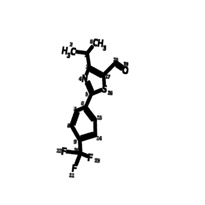 CC(C)c1nc(-c2ccc(C(F)(F)F)cc2)sc1C=O